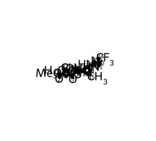 COC(=O)[C@@H]1CC(C(=O)c2ncc(-c3cc(C)cc(Nc4nccc(C(F)(F)F)n4)c3)s2)[C@H](O)C1(C)C